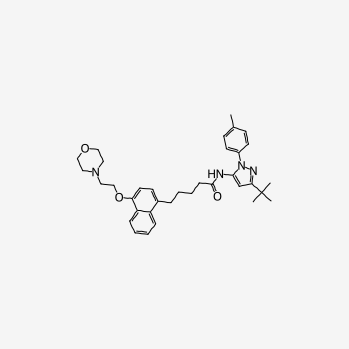 Cc1ccc(-n2nc(C(C)(C)C)cc2NC(=O)CCCCc2ccc(OCCN3CCOCC3)c3ccccc23)cc1